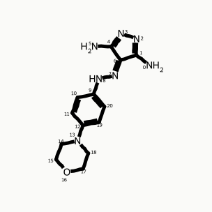 NC1=NN=C(N)C1=NNc1ccc(N2CCOCC2)cc1